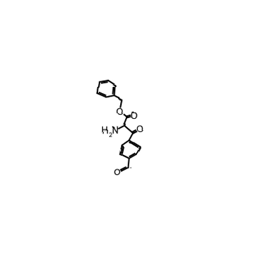 NC(C(=O)OCc1ccccc1)C(=O)c1ccc([C]=O)cc1